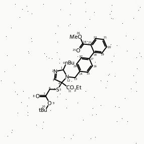 CCCCC1N=CC(SCC(=O)OC(C)(C)C)(C(=O)OCC)N1Cc1ccc(-c2ccccc2C(=O)OC)cc1